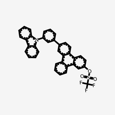 O=S(=O)(Oc1ccc2c3ccc(-c4cccc(-n5c6ccccc6c6ccccc65)c4)cc3c3ccccc3c2c1)C(F)(F)F